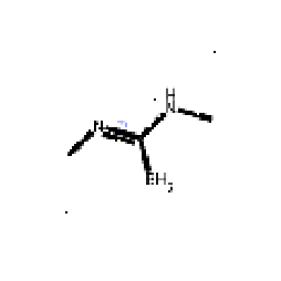 B/C(=N\C)NC